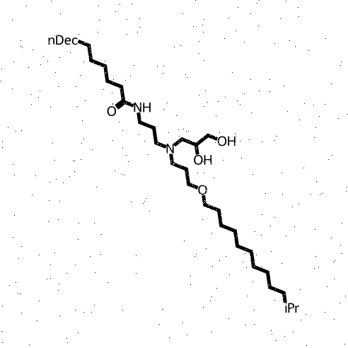 CCCCCCCCCCCCCCCC(=O)NCCCN(CCCOCCCCCCCCCCC(C)C)CC(O)CO